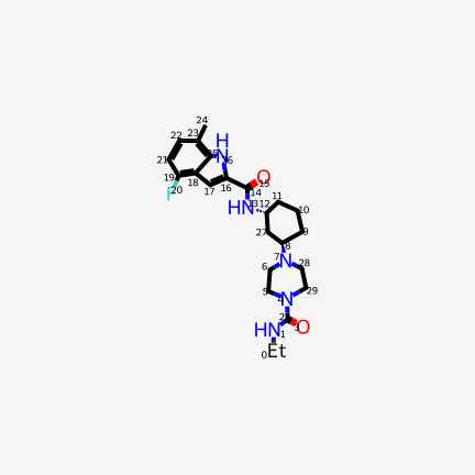 CCNC(=O)N1CCN([C@@H]2CCC[C@@H](NC(=O)c3cc4c(F)ccc(C)c4[nH]3)C2)CC1